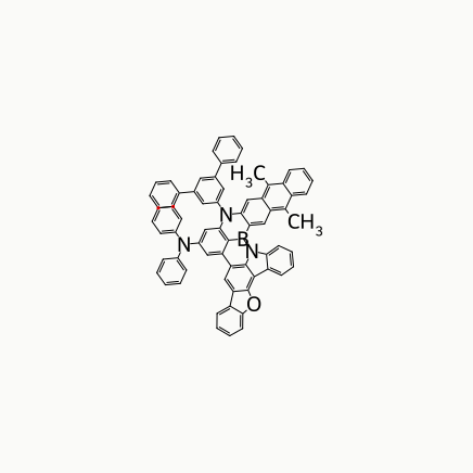 Cc1c2ccccc2c(C)c2cc3c(cc12)B1c2c(cc(N(c4ccccc4)c4ccccc4)cc2N3c2cc(-c3ccccc3)cc(-c3ccccc3)c2)-c2cc3c4ccccc4oc3c3c4ccccc4n1c23